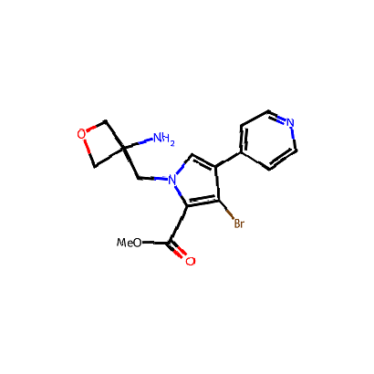 COC(=O)c1c(Br)c(-c2ccncc2)cn1CC1(N)COC1